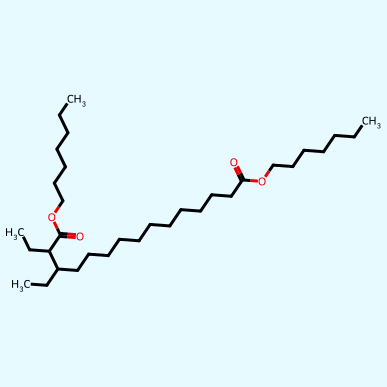 CCCCCCCOC(=O)CCCCCCCCCCCC(CC)C(CC)C(=O)OCCCCCCC